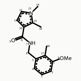 COc1cccc(CNC(=O)c2ccn(C)c2C)c1C